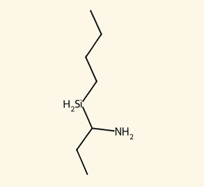 CCCC[SiH2]C(N)CC